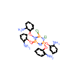 Nc1ccccc1ON1P(Oc2ccccc2N)N=P(Oc2ccccc2N)(Oc2ccccc2N)N(Cl)P1Cl